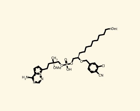 CCCCCCCCCCCCCCCCCCC[C@H](COP(=O)(O)OC[C@](C)(CCc1ccc2c(N)ncnn12)OC)OCc1ccc(C#N)c(Cl)c1